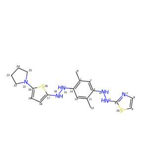 Cc1cc(NNc2nccs2)c(C)cc1NNc1ccc(N2CCCC2)s1